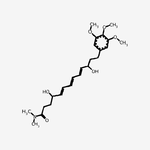 COc1cc(CCC(O)/C=C/C=C/C=C/C(O)CCC(=O)N(C)C)cc(OC)c1OC